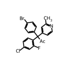 CC(=O)C(c1ccc(Br)cc1)(c1ccnc(C)c1)c1ccc(Cl)cc1F